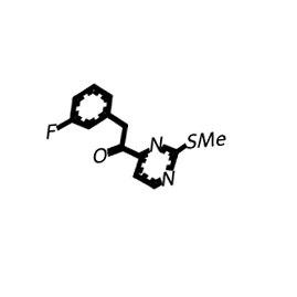 CSc1nccc(C(=O)Cc2cccc(F)c2)n1